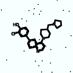 Oc1ccc(-c2ccc3nc[c]c(N4CCC(CN5CCCC5)CC4)c3c2)cc1Cl